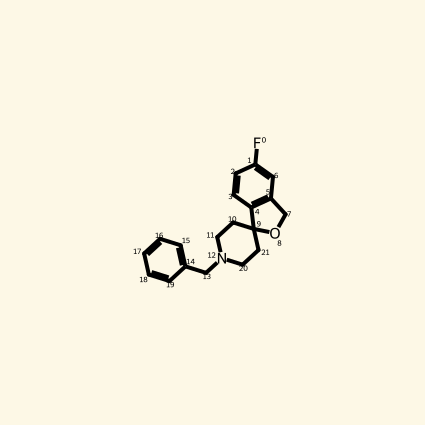 Fc1ccc2c(c1)COC21CCN(Cc2ccccc2)CC1